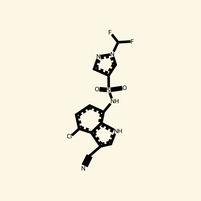 N#Cc1c[nH]c2c(NS(=O)(=O)c3cnn(C(F)F)c3)ccc(Cl)c12